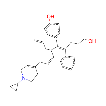 C=CCC(/C=C\CC1=CCN(C2CC2)CC1)/C(=C(/CCCO)c1ccccc1)c1ccc(O)cc1